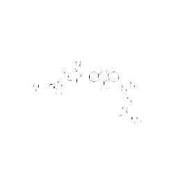 COC(=O)N[C@H](C(=O)N1CCC[C@H]1C1=NCC(c2ccc3c(=O)c4cc(C5CN=C([C@@H]6CCCN6C(=O)[C@@H](NC(=O)OC)C6CCCC6)N5)ccc4oc3c2)N1)C1CCCC1